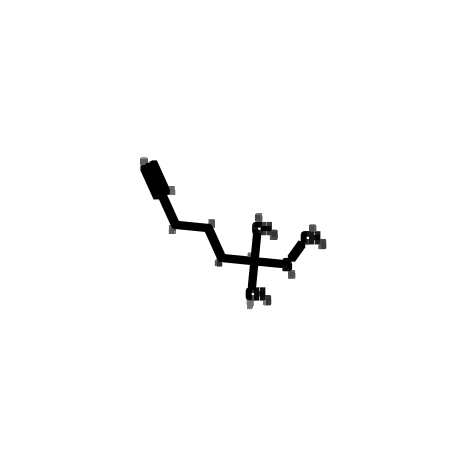 [C]#CCCCC(C)(C)SC